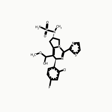 COC(O)C1=C2C[C@H](N(C)S(N)(=O)=O)CN2C(c2nccs2)=N[C@H]1c1ccc(F)cc1Cl